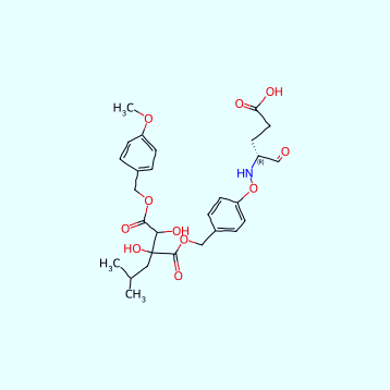 COc1ccc(COC(=O)C(O)C(O)(CC(C)C)C(=O)OCc2ccc(ON[C@@H](C=O)CCC(=O)O)cc2)cc1